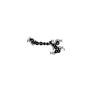 CCc1c(F)ccc2cc(O)cc(-c3ncc4c(N5CCC[C@@](C)(O)C5)nc(OCC5(CN6CC(N7CC(N8CCN(c9ccc%10c(c9)CN([C@H]9CCC(=O)NC9=O)C%10=O)CC8)C7)C6)CC5)nc4c3F)c12